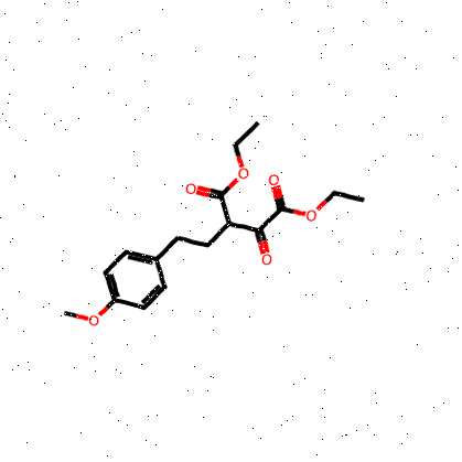 CCOC(=O)C(=O)C(CCc1ccc(OC)cc1)C(=O)OCC